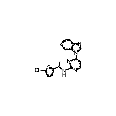 CC(Nc1nccc(-n2cnc3ccccc32)n1)c1ccc(Cl)s1